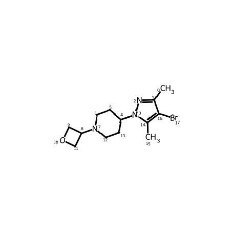 Cc1nn(C2CCN(C3COC3)CC2)c(C)c1Br